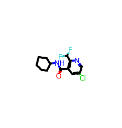 O=C(NC1CCCCC1)c1cc(Cl)cnc1C(F)F